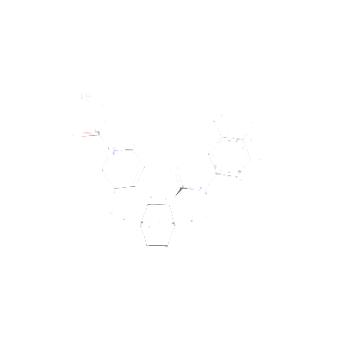 CC(C)(C)OC(=O)N1CC=C([C@@H]2[C@@H](C(=O)Nc3ccc(Cl)c(Cl)c3)[C@H]3CC[C@@H]2O3)CC1